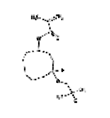 C=C(C)C(=O)OC1CCCCCC(CC)(OCC(C)(O)C(F)(F)F)CC1